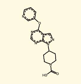 O=C(O)N1CCC(n2ncc3c(Oc4cccnc4)ncnc32)CC1